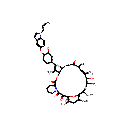 C=CCn1ccc2cc(OC3CCC(C=C(C)C4OC(=O)C5CCCCN5C(=O)C(=O)C5(O)OC(C(OC)CC(C)C(O)/C(C)=C/C(CC)C(=O)CCC4C)C(OC)CC5C)CC3O)ccc21